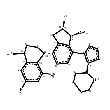 CC(=O)O[C@H]1c2c(-c3ccnn3C3CCCCO3)ccc([C@H]3CC[C@H](F)c4cc(F)cc(C#N)c43)c2C[C@H]1F